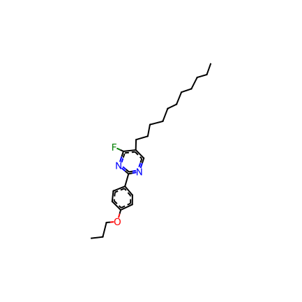 CCCCCCCCCCCc1cnc(-c2ccc(OCCC)cc2)nc1F